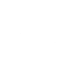 O=Cc1cccc(OCc2ccc(F)cc2Cl)c1